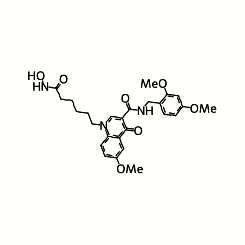 COc1ccc(CNC(=O)c2cn(CCCCCC(=O)NO)c3ccc(OC)cc3c2=O)c(OC)c1